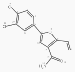 [CH]=Cc1oc(-c2ccc(Cl)c(Cl)c2)cc1C(N)=O